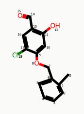 Cc1ccccc1COc1cc(O)c(C=O)cc1Cl